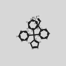 C=CCc1ccccc1C(C1=CC=CC1)(c1ccccc1)c1ccccc1